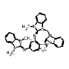 CN1C2=Nc3cc(N=c4n(C)c5ccccc5n4C)ccc3/N=C3\N(C)c4ccccc4N3CN2c2ccccc21